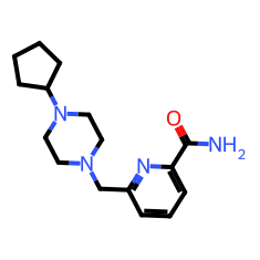 NC(=O)c1cccc(CN2CCN(C3CCCC3)CC2)n1